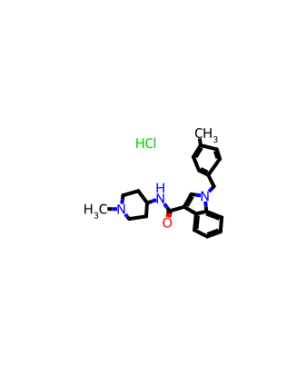 Cc1ccc(Cn2cc(C(=O)NC3CCN(C)CC3)c3ccccc32)cc1.Cl